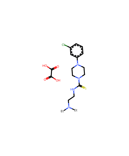 CCN(CC)CCNC(=S)N1CCN(c2cccc(Cl)c2)CC1.O=C(O)C(=O)O